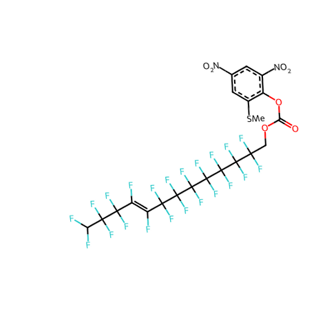 CSc1cc([N+](=O)[O-])cc([N+](=O)[O-])c1OC(=O)OCC(F)(F)C(F)(F)C(F)(F)C(F)(F)C(F)(F)C(F)(F)C(F)(F)C(F)=C(F)C(F)(F)C(F)(F)C(F)F